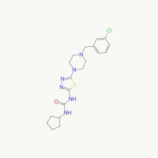 O=C(Nc1nnc(N2CCN(Cc3cccc(Cl)c3)CC2)s1)NC1CCCC1